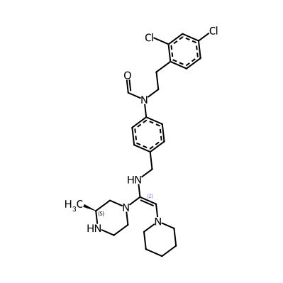 C[C@H]1CN(/C(=C\N2CCCCC2)NCc2ccc(N(C=O)CCc3ccc(Cl)cc3Cl)cc2)CCN1